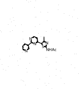 CC(=O)Nc1nc(C)c(-c2ccnc(-c3cccnc3)n2)s1